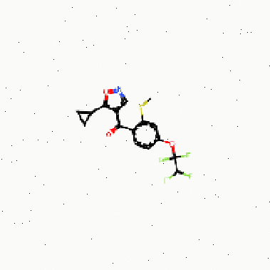 CSc1cc(OC(F)(F)C(F)F)ccc1C(=O)c1cnoc1C1CC1